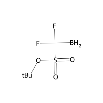 BC(F)(F)S(=O)(=O)OC(C)(C)C